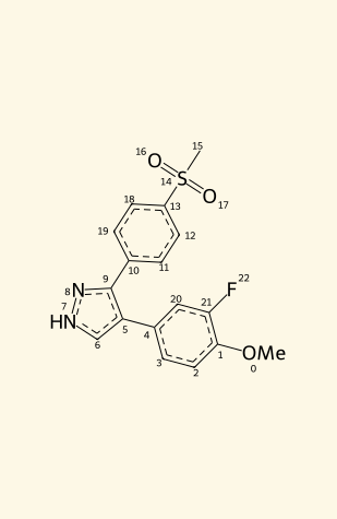 COc1ccc(-c2c[nH]nc2-c2ccc(S(C)(=O)=O)cc2)cc1F